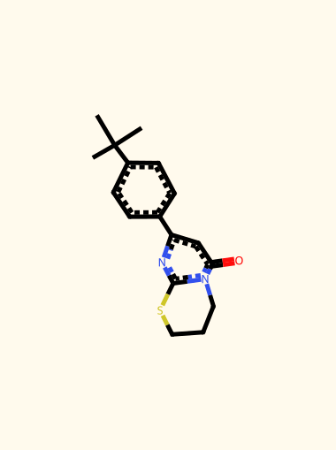 CC(C)(C)c1ccc(-c2cc(=O)n3c(n2)SCCC3)cc1